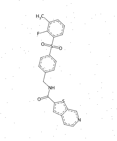 Cc1cccc(S(=O)(=O)c2ccc(CNC(=O)c3cc4ccncc4s3)cc2)c1F